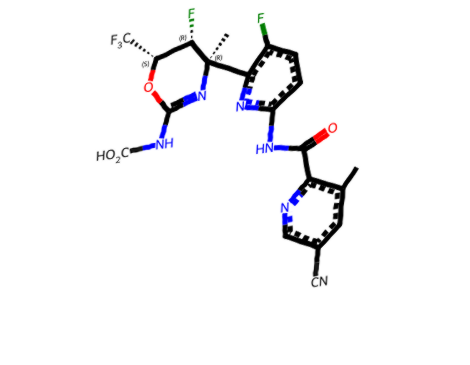 Cc1cc(C#N)cnc1C(=O)Nc1ccc(F)c([C@@]2(C)N=C(NC(=O)O)O[C@H](C(F)(F)F)[C@@H]2F)n1